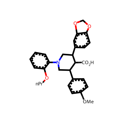 CCCOc1ccccc1N1CC(c2ccc(OC)cc2)C(C(=O)O)C(c2ccc3c(c2)OCO3)C1